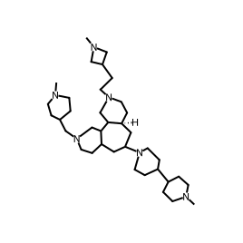 CN1CCC(CN2CCC3CC(N4CCC(C5CCN(C)CC5)CC4)C[C@@H]4CCN(CCC5CN(C)C5)CC4C3C2)CC1